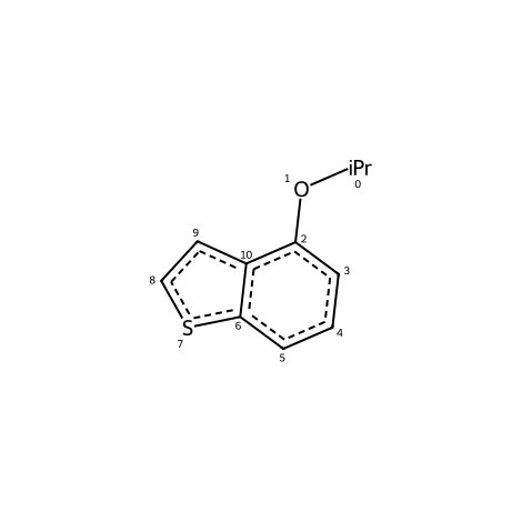 CC(C)Oc1cccc2sccc12